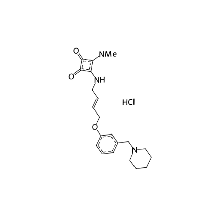 CNc1c(NCC=CCOc2cccc(CN3CCCCC3)c2)c(=O)c1=O.Cl